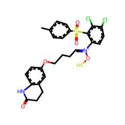 Cc1ccc(S(=O)(=O)c2c([N+](=CCCCOc3ccc4c(c3)CCC(=O)N4)OS)ccc(Cl)c2Cl)cc1